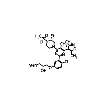 CC[C@@H]1CN(c2nc(-c3cc(OC[C@H](O)CNC)ccc3Cl)nc(-c3c(C)noc3C)c2C)CCN1S(C)(=O)=O